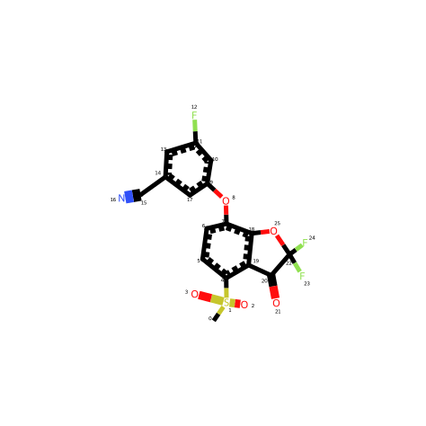 CS(=O)(=O)c1ccc(Oc2cc(F)cc(C#N)c2)c2c1C(=O)C(F)(F)O2